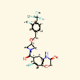 O=C1COC2=C(CC(C(=O)N3CC(OCc4ccc(C(F)(F)F)c(F)c4)C3)C(F)=C2)N1